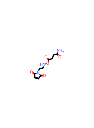 NC(=O)CCC(=O)ONCCN1C(=O)C=CC1=O